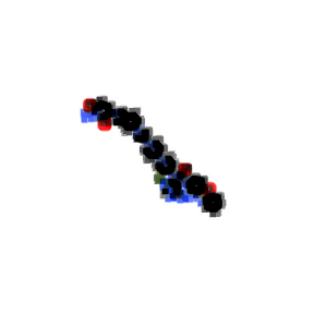 Nc1ncnc2c1n(-c1ccc(Oc3ccccc3)cc1)c(=O)n2[C@@H]1CCN(C2CCN(C3CN(c4ccc5cn([C@@H]6CCC(=O)NC6=O)cc5c4)C3)CC2)C[C@H]1F